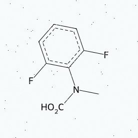 CN(C(=O)O)c1c(F)cccc1F